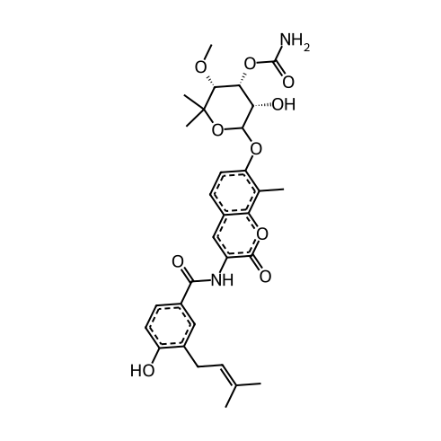 CO[C@@H]1[C@H](OC(N)=O)[C@H](O)C(Oc2ccc3cc(NC(=O)c4ccc(O)c(CC=C(C)C)c4)c(=O)oc3c2C)OC1(C)C